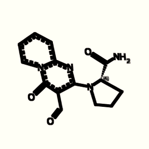 NC(=O)[C@@H]1CCCN1c1nc2ccccn2c(=O)c1C=O